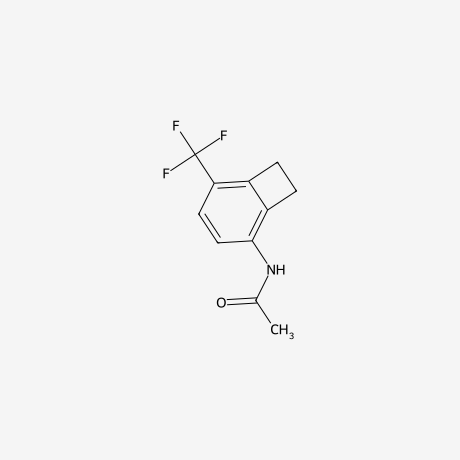 CC(=O)Nc1ccc(C(F)(F)F)c2c1CC2